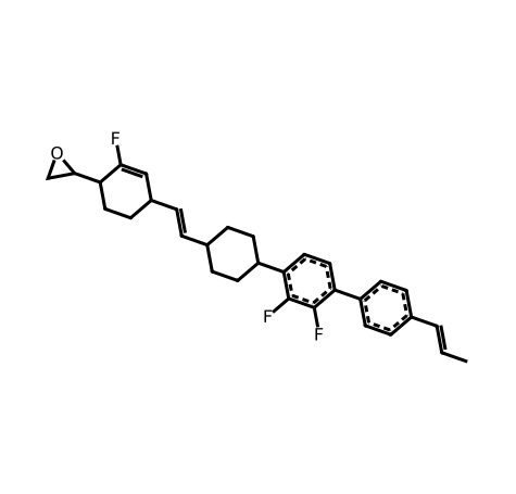 C/C=C/c1ccc(-c2ccc(C3CCC(/C=C/C4C=C(F)C(C5CO5)CC4)CC3)c(F)c2F)cc1